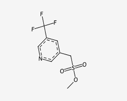 COS(=O)(=O)Cc1cncc(C(F)(F)F)c1